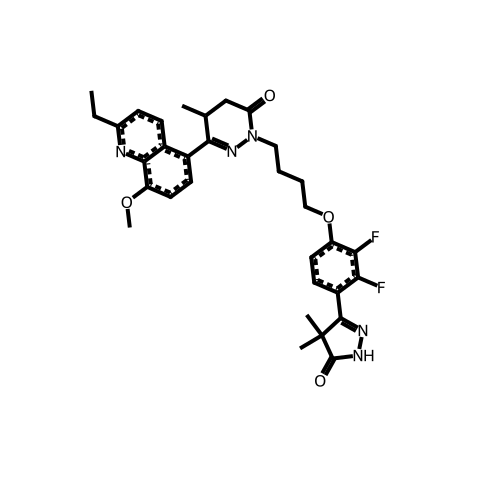 CCc1ccc2c(C3=NN(CCCCOc4ccc(C5=NNC(=O)C5(C)C)c(F)c4F)C(=O)CC3C)ccc(OC)c2n1